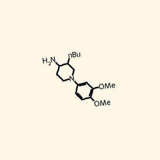 CCCCC1CN(c2ccc(OC)c(OC)c2)CCC1N